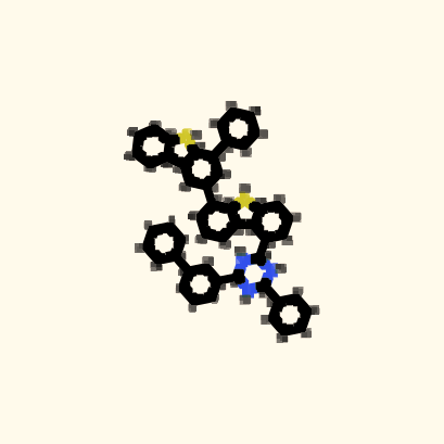 c1ccc(-c2cccc(-c3nc(-c4ccccc4)nc(-c4cccc5sc6c(-c7cc(-c8ccccc8)c8sc9ccccc9c8c7)cccc6c45)n3)c2)cc1